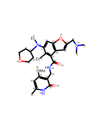 CCc1c(N(CC)C2CCOCC2)cc2oc(CN(C)C)cc2c1C(=O)NCc1c(OC)cc(C)[nH]c1=O